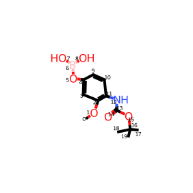 COc1cc(OB(O)O)ccc1NC(=O)OC(C)(C)C